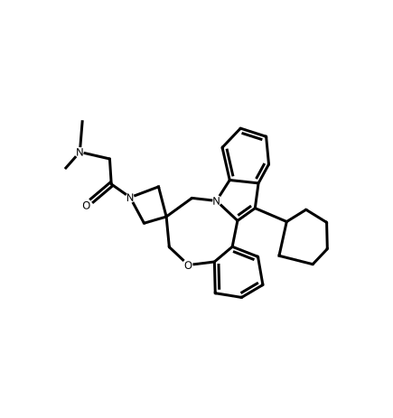 CN(C)CC(=O)N1CC2(COc3ccccc3-c3c(C4CCCCC4)c4ccccc4n3C2)C1